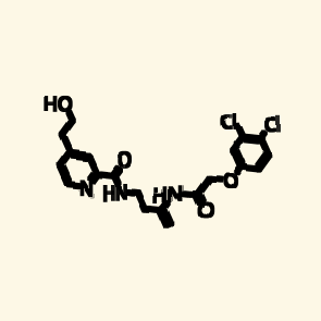 C=C(CCNC(=O)c1cc(CCO)ccn1)NC(=O)COc1ccc(Cl)c(Cl)c1